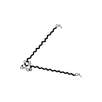 CCCCCCCCCCCCCCCCCCCCCC(=O)O[C@@H](CO)[C@@H](CO)OC(=O)CCCCCCCCCCCCCCCCCCCCC